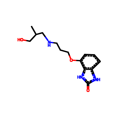 CC(CO)CNCCCOc1cccc2[nH]c(=O)[nH]c12